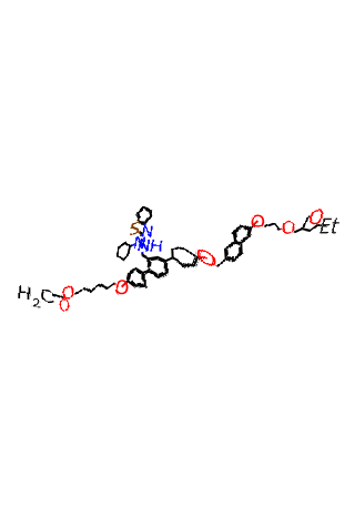 C=CC(=O)OCCCCCCOc1ccc(-c2ccc(C3CCC(OCc4ccc5cc(OCCCOCC6COC(CC)C6)ccc5c4)CC3)cc2CNN(c2nc3ccccc3s2)C2CCCCC2)cc1